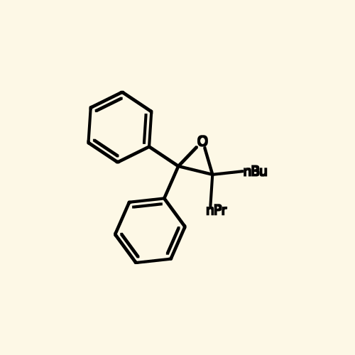 CCCCC1(CCC)OC1(c1ccccc1)c1ccccc1